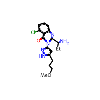 CCC(N)c1nc2cccc(Cl)c2c(=O)n1-c1cc(CCCOC)[nH]n1